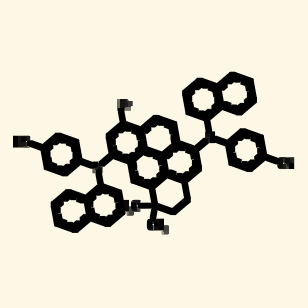 CC(C)c1cc(N(c2ccc(C#N)cc2)c2cccc3ccccc23)c2cc3c4c(cc(N(c5ccc(C#N)cc5)c5cccc6ccccc56)c5ccc1c2c54)CCC3(C)C